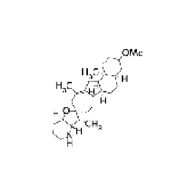 CO[C@@H]1CC[C@@]2(C)[C@H](CC[C@H]3[C@@H]4CC[C@@]5(CC(C)=C4C[C@@H]32)O[C@@H]2CCCN[C@H]2[C@H]5C)C1